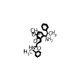 COc1ccc(C(N)[C@@H](C)c2ccccc2)c2cc(C(=O)N[C@@H](C)c3ccccc3)oc12